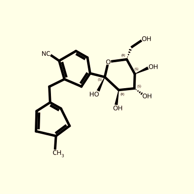 Cc1ccc(Cc2cc([C@]3(O)O[C@H](CO)[C@@H](O)[C@H](O)[C@H]3O)ccc2C#N)cc1